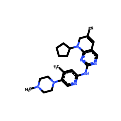 CN1CCN(c2cnc(Nc3ncc4c(n3)N(C3CCCC3)CC(C#N)=C4)cc2C(F)(F)F)CC1